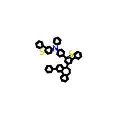 c1ccc(-c2ccc3c(c2)-c2ccccc2CCC3c2cc(-c3ccc(N(c4ccccc4)c4ccc5sc6ccccc6c5c4)cc3)c3sc4ccccc4c3c2)cc1